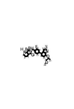 BC1(B)c2ncccc2C(=O)N1Cc1ccc(-c2ccc(OC(C)COC)c3nn(C)cc23)cc1F